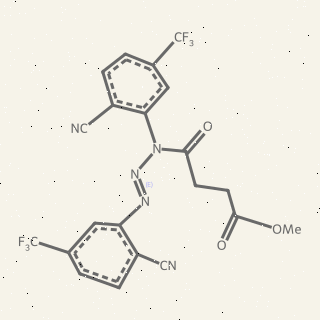 COC(=O)CCC(=O)N(/N=N/c1cc(C(F)(F)F)ccc1C#N)c1cc(C(F)(F)F)ccc1C#N